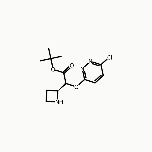 CC(C)(C)OC(=O)C(Oc1ccc(Cl)nn1)[C@@H]1CCN1